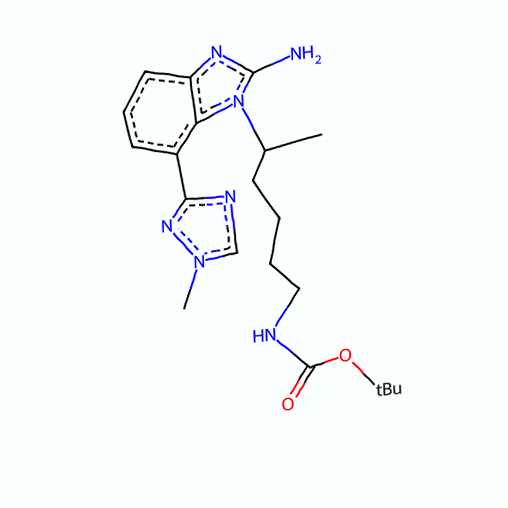 CC(CCCCNC(=O)OC(C)(C)C)n1c(N)nc2cccc(-c3ncn(C)n3)c21